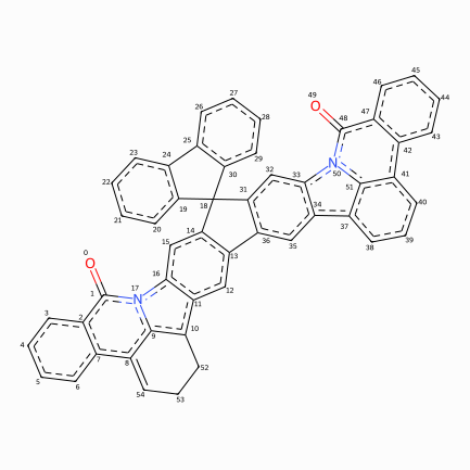 O=c1c2ccccc2c2c3c(c4cc5c(cc4n13)C1(c3ccccc3-c3ccccc31)c1cc3c(cc1-5)c1cccc4c5ccccc5c(=O)n3c41)CCC=2